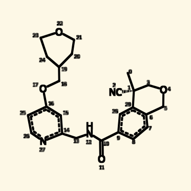 C[C@@]1(C#N)COCc2ccc(C(=O)NCc3cc(OCC4CCOCC4)ccn3)cc21